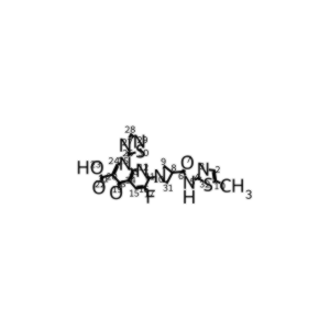 Cc1cnc(NC(=O)C2CN(c3nc4c(cc3F)c(=O)c(C(=O)O)cn4-c3ncns3)C2)s1